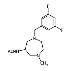 CC(=O)NC1CN(C)CCN(Cc2cc(F)cc(F)c2)C1